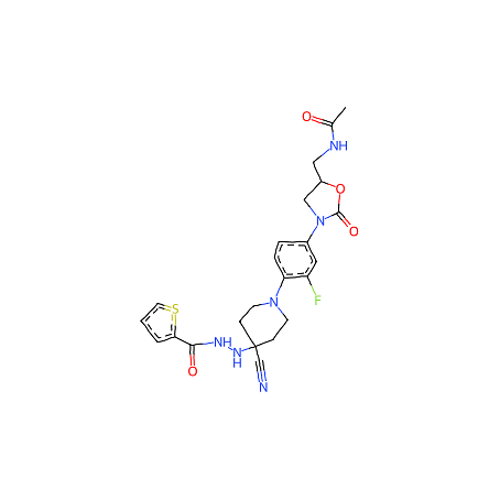 CC(=O)NCC1CN(c2ccc(N3CCC(C#N)(NNC(=O)c4cccs4)CC3)c(F)c2)C(=O)O1